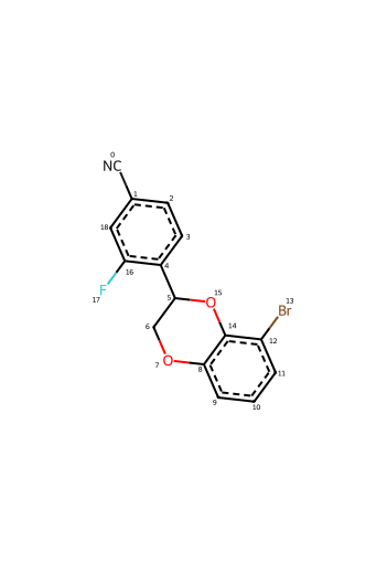 N#Cc1ccc(C2COc3cccc(Br)c3O2)c(F)c1